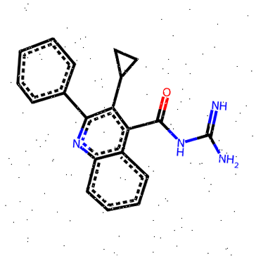 N=C(N)NC(=O)c1c(C2CC2)c(-c2ccccc2)nc2ccccc12